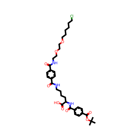 CC(C)(C)OC(=O)c1ccc(C(=O)NC(CCCCNC(=O)c2ccc(C(=O)NCCOCCOCCCCCCCl)cc2)C(=O)O)cc1